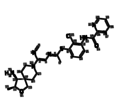 C=N/C(=C\N=C(/C)Sc1cccc(NC(=O)c2ncccn2)c1Cl)N1CCC2(CC1)CO[C@@H](C)[C@H]2N